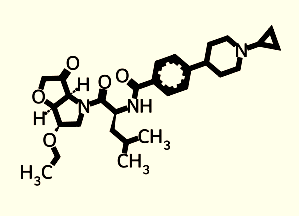 CCO[C@H]1CN(C(=O)[C@H](CC(C)C)NC(=O)c2ccc(C3CCN(C4CC4)CC3)cc2)[C@@H]2C(=O)CO[C@H]12